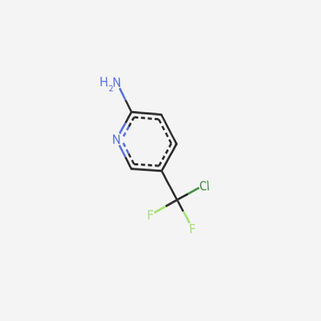 Nc1ccc(C(F)(F)Cl)cn1